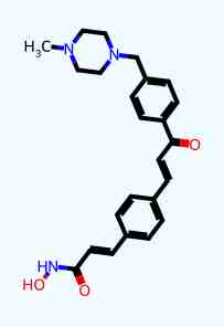 CN1CCN(Cc2ccc(C(=O)C=Cc3ccc(C=CC(=O)NO)cc3)cc2)CC1